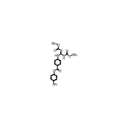 CCCc1ccc(OC(=O)c2ccc(N/C(=N\C(=O)OC(C)(C)C)NC(=O)OC(C)(C)C)cc2)cc1